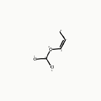 C/C=C\O[C](Cl)Cl